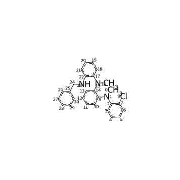 CN(c1ccccc1Cl)c1ccccc1N(C)c1ccccc1NCc1ccccc1